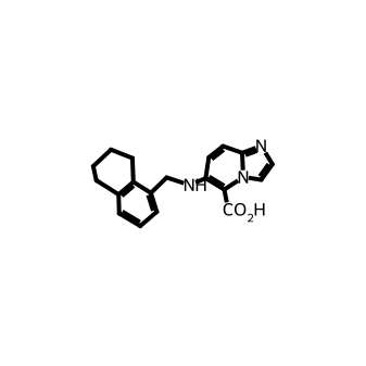 O=C(O)c1c(NCc2cccc3c2CCCC3)ccc2nccn12